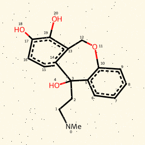 CNCCC1(O)c2ccccc2OCc2c1ccc(O)c2O